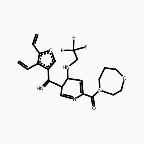 C=Cc1occ(C(=N)C2C=NC(C(=O)N3CCCOCC3)=CC2NCC(F)(F)F)c1C=C